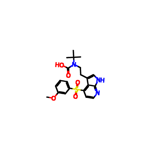 COc1cccc(S(=O)(=O)c2ccnc3[nH]cc(CCN(C(=O)O)C(C)(C)C)c23)c1